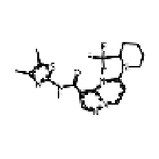 Cc1nc(NC(=O)c2cnn3ccc(N4CCCCC4C(F)(F)F)nc23)sc1C